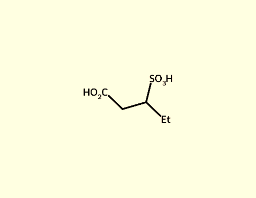 CCC(CC(=O)O)S(=O)(=O)O